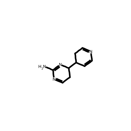 NC1=NC(C2C=CN=CC2)CC=N1